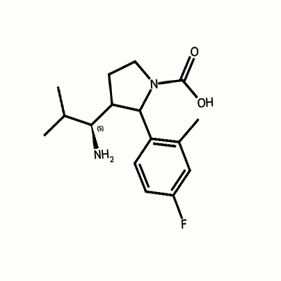 Cc1cc(F)ccc1C1C([C@@H](N)C(C)C)CCN1C(=O)O